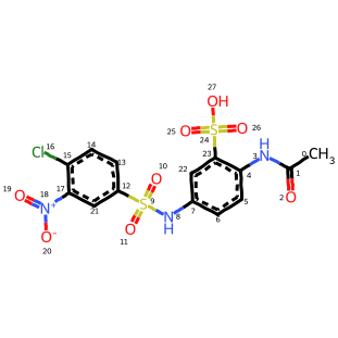 CC(=O)Nc1ccc(NS(=O)(=O)c2ccc(Cl)c([N+](=O)[O-])c2)cc1S(=O)(=O)O